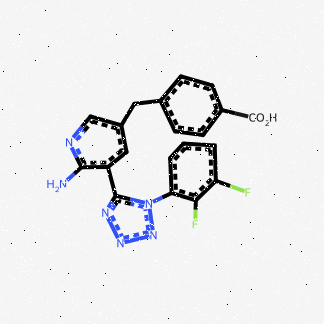 Nc1ncc(Cc2ccc(C(=O)O)cc2)cc1-c1nnnn1-c1cccc(F)c1F